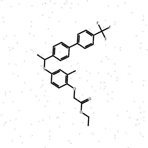 CCOC(=O)COc1ccc(SC(C)c2ccc(-c3ccc(C(F)(F)F)cc3)cc2)cc1C